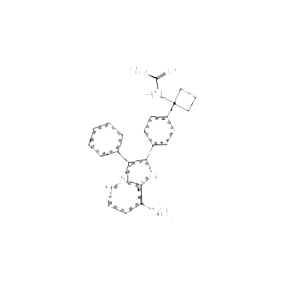 Nc1ccnn2c(-c3ccccc3)c(-c3ccc(C4(NC(=O)O)CCC4)cc3)nc12